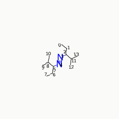 CCC(N=NC(CC)C(C)C)C(C)C